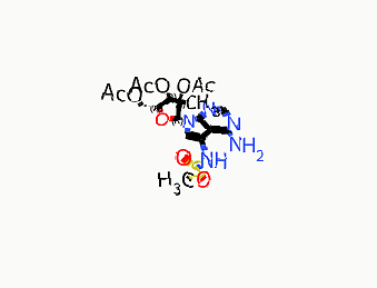 CC(=O)OC[C@H]1O[C@@H](n2cc(NS(C)(=O)=O)c3c(N)ncnc32)[C@](C)(OC(C)=O)[C@@H]1OC(C)=O